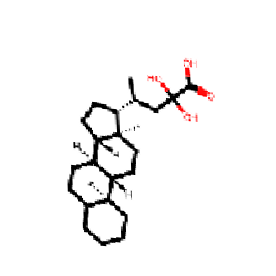 CC(CC(O)(O)C(=O)O)[C@H]1CC[C@H]2[C@@H]3CCC4CCCC[C@]4(C)[C@H]3CC[C@]12C